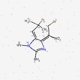 Bc1nc(=C(/CBr)[N+](=O)[O-])/c(=C\C(C)(C)Br)n1CCC